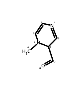 CN1C=CN=CC1C=O